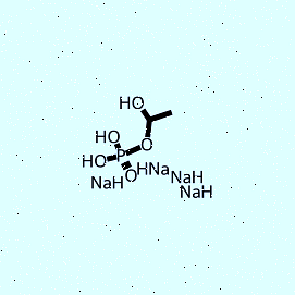 CC(O)OP(=O)(O)O.[NaH].[NaH].[NaH].[NaH]